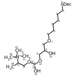 CCCCCCCCCCCCCCCCOCC(O)COP(O)OCC(C)[N+](C)(C)C